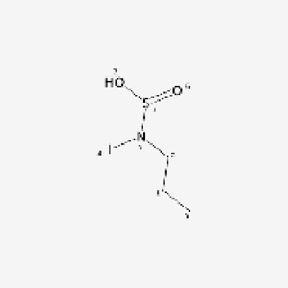 CCCN(I)S(=O)O